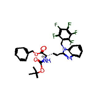 CC(C)(C)OC(=O)N[C@@H](CCc1nc2ccccc2n1Cc1c(F)c(F)c(F)c(F)c1F)C(=O)OCc1ccccc1